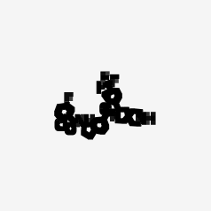 O=C(NC1CCc2ccc(C(=O)N3CCC4(CCNCC4)CC3c3ccc(C(F)(F)F)cc3)cc21)c1cc(F)ccc1Cl